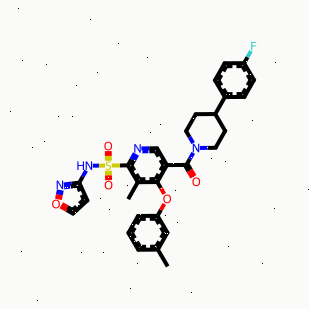 Cc1cccc(Oc2c(C(=O)N3CCC(c4ccc(F)cc4)CC3)cnc(S(=O)(=O)Nc3ccon3)c2C)c1